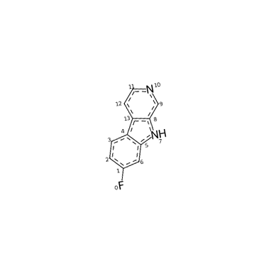 Fc1ccc2c(c1)[nH]c1cnccc12